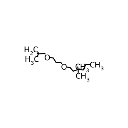 C=C(C)COCCCOCCC(C)(C)CCC